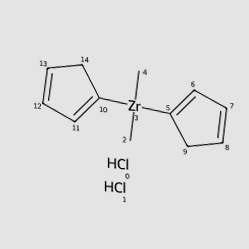 Cl.Cl.[CH3][Zr]([CH3])([C]1=CC=CC1)[C]1=CC=CC1